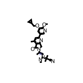 C=NN(/C=C(\C)N1Cc2nc(-c3cnc(OC)c(OCC4CC4)c3)cc(C)c2C1=O)C(C)(C)C#N